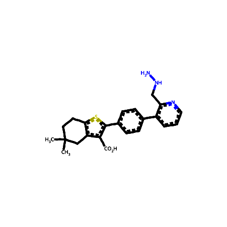 CC1(C)CCc2sc(-c3ccc(-c4cccnc4CNN)cc3)c(C(=O)O)c2C1